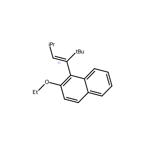 CCOc1ccc2ccccc2c1/C(=C/C(C)C)C(C)(C)C